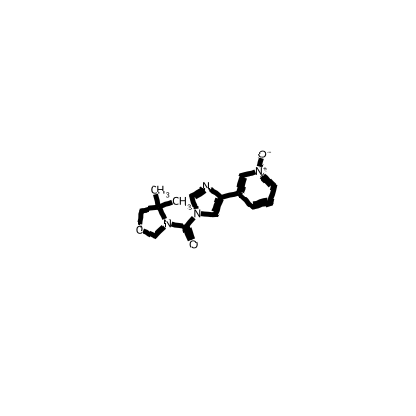 CC1(C)COCN1C(=O)n1cnc(-c2ccc[n+]([O-])c2)c1